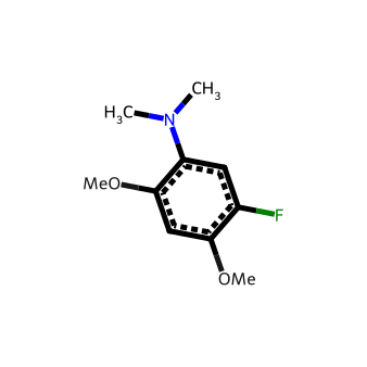 COc1cc(OC)c(N(C)C)cc1F